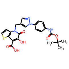 CC(C)(C)OC(=O)Nc1ccc(-n2cc(Cn3c(=O)c(O)c(C(=O)O)c4sccc43)cn2)cc1